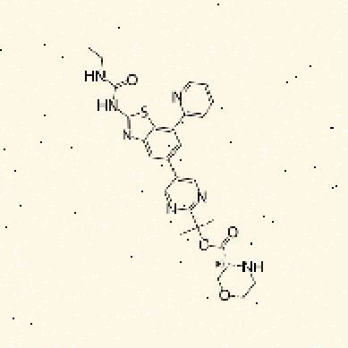 CCNC(=O)Nc1nc2cc(-c3cnc(C(C)(C)OC(=O)[C@H]4COCCN4)nc3)cc(-c3ccccn3)c2s1